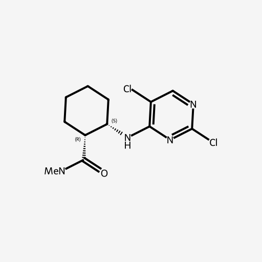 CNC(=O)[C@@H]1CCCC[C@@H]1Nc1nc(Cl)ncc1Cl